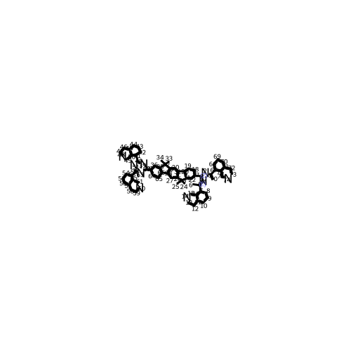 C=C(/N=C(\N=C(/C)c1cccc2ccncc12)c1ccc2c(c1)C(C)(C)c1cc3c(cc1-2)C(C)(C)c1cc(-c2nc(-c4cccc5ccncc45)nc(-c4cccc5ccncc45)n2)ccc1-3)c1cccc2ccncc12